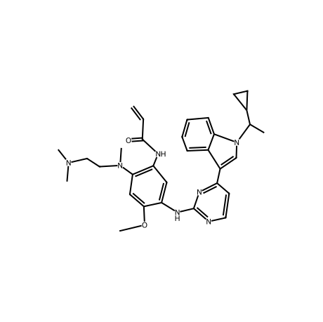 C=CC(=O)Nc1cc(Nc2nccc(-c3cn(C(C)C4CC4)c4ccccc34)n2)c(OC)cc1N(C)CCN(C)C